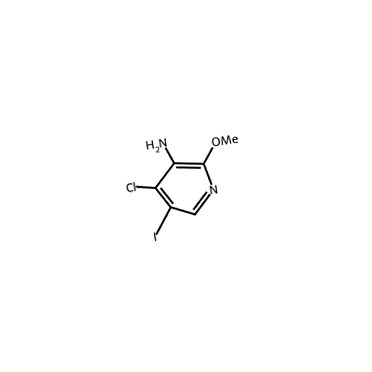 COc1ncc(I)c(Cl)c1N